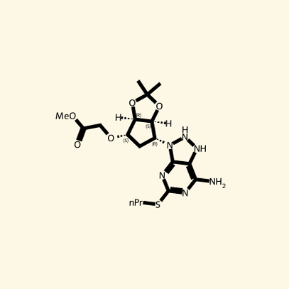 CCCSc1nc(N)c2c(n1)N([C@@H]1C[C@H](OCC(=O)OC)[C@H]3OC(C)(C)O[C@H]31)NN2